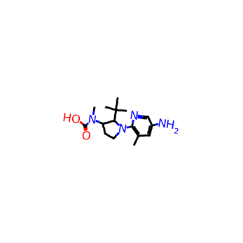 Cc1cc(N)cnc1N1CCC(N(C)C(=O)O)C1C(C)(C)C